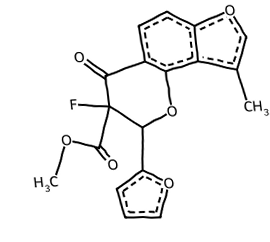 COC(=O)C1(F)C(=O)c2ccc3occ(C)c3c2OC1c1ccco1